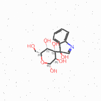 OC[C@H]1O[C@@H](O)[C@H](O)[C@](O)(C2(O)C=Nc3ccccc32)[C@H]1O